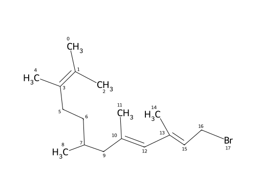 CC(C)=C(C)CCC(C)C/C(C)=C/C(C)=C/CBr